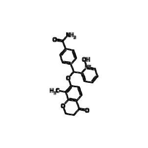 Cc1c(OC(c2ccc(C(N)=O)cc2)c2cccc[n+]2O)ccc2c1OCCC2=O